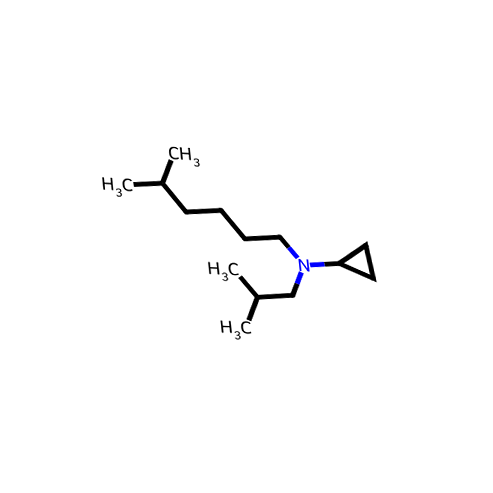 CC(C)CCCCN(CC(C)C)C1CC1